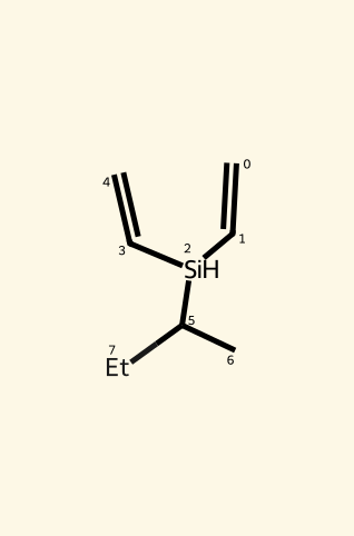 C=C[SiH](C=C)C(C)CC